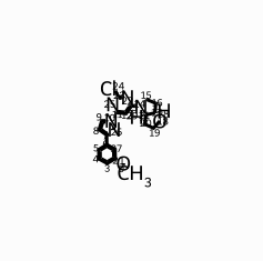 COc1cccc(-c2ccn(-c3cc(N4CC[C@H]5OCC[C@H]54)nc(Cl)n3)n2)c1